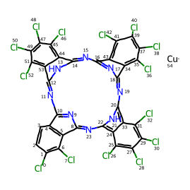 Clc1ccc2c(c1Cl)-c1nc-2nc2[nH]c(nc3nc(nc4[nH]c(n1)c1c(Cl)c(Cl)c(Cl)c(Cl)c41)-c1c(Cl)c(Cl)c(Cl)c(Cl)c1-3)c1c(Cl)c(Cl)c(Cl)c(Cl)c21.[Cu]